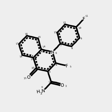 NC(=O)c1c(F)n(-c2ccc(F)cc2)c2ccccc2c1=O